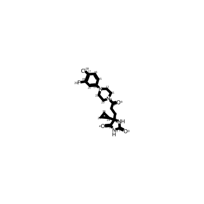 O=C1NC(=O)C(CCC(=O)N2CCN(c3ccc(Cl)c(F)c3)CC2)(C2CC2)N1